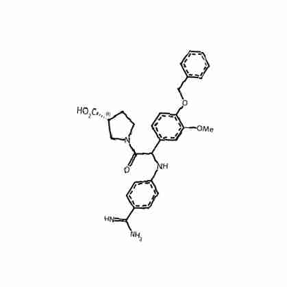 COc1cc(C(Nc2ccc(C(=N)N)cc2)C(=O)N2CC[C@@H](C(=O)O)C2)ccc1OCc1ccccc1